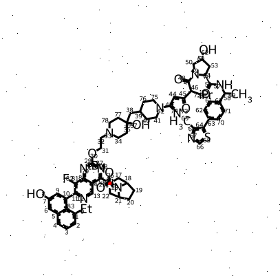 CCc1cccc2cc(O)cc(-c3ncc4c(N5CC6CCC(C5)N6C(=O)OC(C)(C)C)nc(OCCN5CCC(O)(CC6CCN(c7cc(C(C(=O)N8C[C@H](O)C[C@H]8C(=O)NC(C)c8ccc(-c9scnc9C)cc8)C(C)C)on7)CC6)CC5)nc4c3F)c12